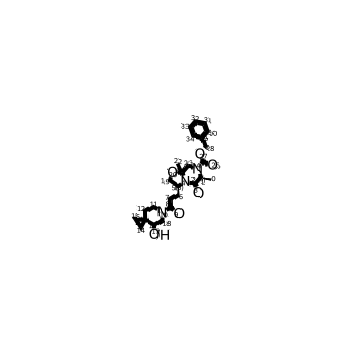 C[C@H]1C(=O)N2[C@@H](CCC(=O)N3CCC4(CC4)C(O)C3)COC2(C)CN1C(=O)OCc1ccccc1